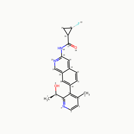 Cc1ccnc([C@@H](C)O)c1-c1ccc2cc(NC(=O)C3C[C@@H]3F)ncc2c1